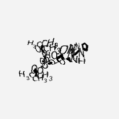 CC(C)(C)C(=O)OCOP(=O)(COC[C@H]1O[C@@H](c2cnc3c(NC4CCCC4)ncnn23)[C@H](O)[C@@H]1O)OCOC(=O)C(C)(C)C